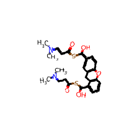 CN(C)CCC(=O)SC(O)c1ccc2c(c1)Cc1c(cccc1C(O)SC(=O)CCN(C)C)O2